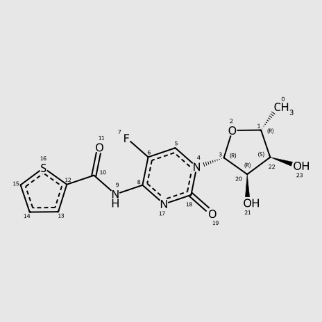 C[C@H]1O[C@@H](n2cc(F)c(NC(=O)c3cccs3)nc2=O)[C@H](O)[C@@H]1O